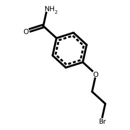 NC(=O)c1ccc(OCCBr)cc1